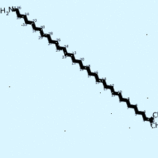 CC(C)CCCCCCCCCCCCCCCCCCCCCCCCCCCCCCCCCCN